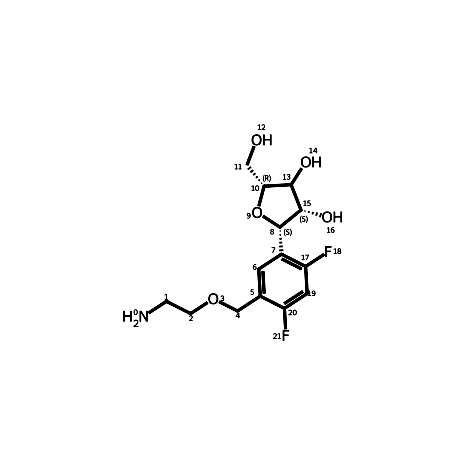 NCCOCc1cc([C@@H]2O[C@H](CO)C(O)[C@@H]2O)c(F)cc1F